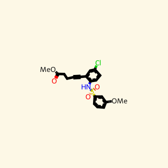 COC(=O)CCC#Cc1cc(Cl)ccc1NS(=O)(=O)c1cccc(OC)c1